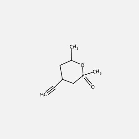 C#CC1CC(C)OP(C)(=O)C1